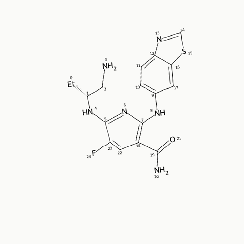 CC[C@H](CN)Nc1nc(Nc2ccc3ncsc3c2)c(C(N)=O)cc1F